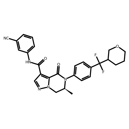 C[C@H]1Cn2ncc(C(=O)Nc3cccc(C#N)c3)c2C(=O)N1c1ccc(C(F)(F)C2CCCOC2)cc1